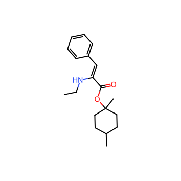 CCNC(=Cc1ccccc1)C(=O)OC1(C)CCC(C)CC1